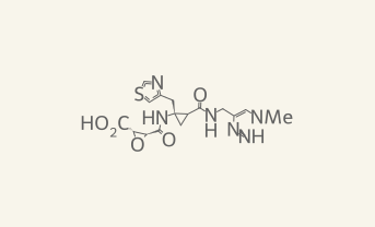 CN/C=C(/CNC(=O)C1C[C@]1(Cc1cscn1)NC(=O)[C@H]1O[C@@H]1C(=O)O)N=N